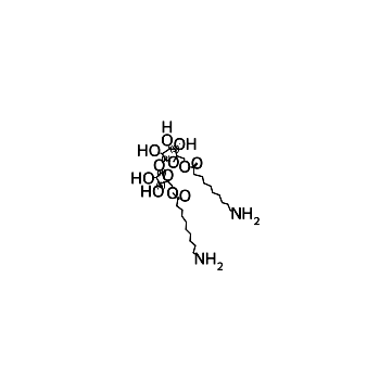 NCCCCCCCCCC(=O)OCC1O[C@H](O[C@H]2OC(COC(=O)CCCCCCCCCN)[C@@H](O)C2O)C(O)C(O)[C@@H]1O